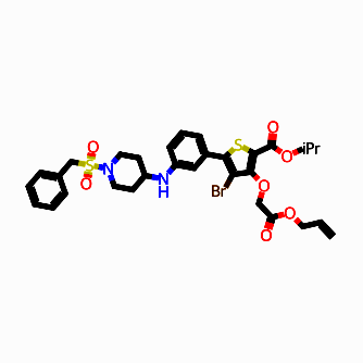 C=CCOC(=O)COc1c(C(=O)OC(C)C)sc(-c2cccc(NC3CCN(S(=O)(=O)Cc4ccccc4)CC3)c2)c1Br